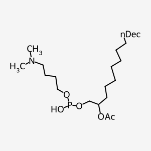 CCCCCCCCCCCCCCCCCC(COP(O)OCCCCN(C)C)OC(C)=O